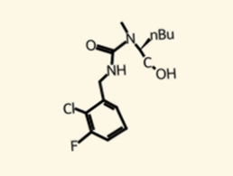 CCCC[C@@H](CO)N(C)C(=O)NCc1cccc(F)c1Cl